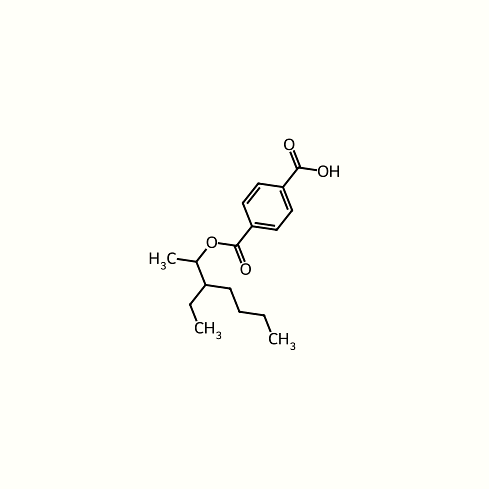 CCCCC(CC)C(C)OC(=O)c1ccc(C(=O)O)cc1